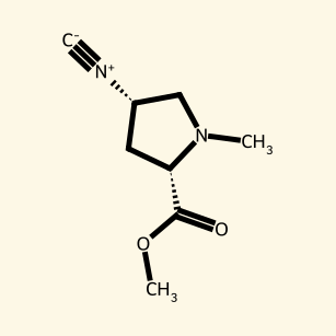 [C-]#[N+][C@H]1C[C@@H](C(=O)OC)N(C)C1